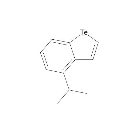 CC(C)c1cccc2[te]ccc12